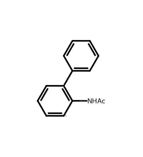 CC(=O)Nc1[c]cccc1-c1ccccc1